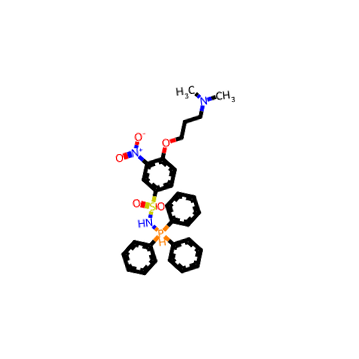 CN(C)CCCOc1ccc(S(=O)(=O)N[PH](c2ccccc2)(c2ccccc2)c2ccccc2)cc1[N+](=O)[O-]